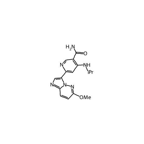 COc1ccc2ncc(-c3cc(NC(C)C)c(C(N)=O)cn3)n2n1